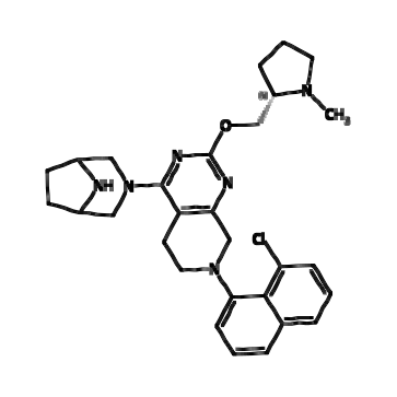 CN1CCC[C@H]1COc1nc2c(c(N3CC4CCC(C3)N4)n1)CCN(c1cccc3cccc(Cl)c13)C2